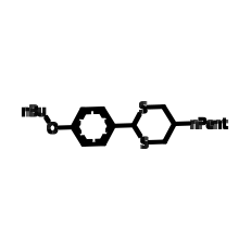 CCCCCC1CSC(c2ccc(OCCCC)cc2)SC1